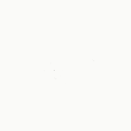 CC1=C(c2ccc(C#N)c3ccccc23)C(=O)N2CC[C@H](O)[C@@H]12